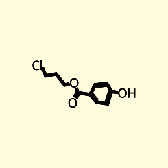 O=C(OCCCCl)c1ccc(O)cc1